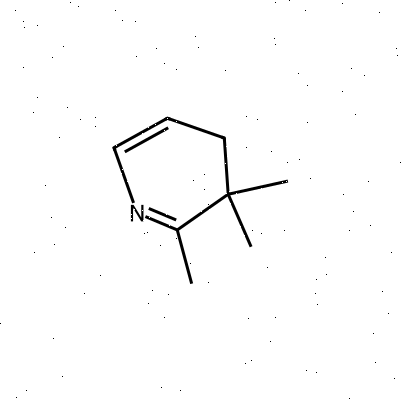 CC1=NC=CCC1(C)C